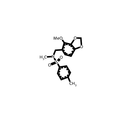 COc1c(CN(C)S(=O)(=O)c2ccc(C)cc2)ccc2c1OCO2